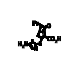 CC(C)C1C(=O)N2C(C(=O)O)=C(Sc3ncc(N)s3)CC12